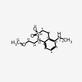 CNc1cccc2c1CCS(=O)(=O)N2CCOC